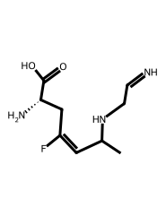 CC(/C=C(/F)C[C@H](N)C(=O)O)NCC=N